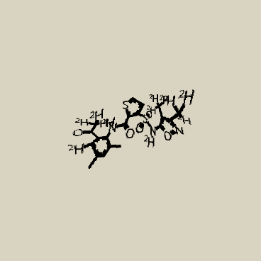 [2H]c1c(C)cc(C)c(N([2H])C(=O)c2sccc2S(=O)(=O)N([2H])c2onc(C([2H])([2H])[2H])c2C([2H])([2H])[2H])c1C(=O)C([2H])([2H])[2H]